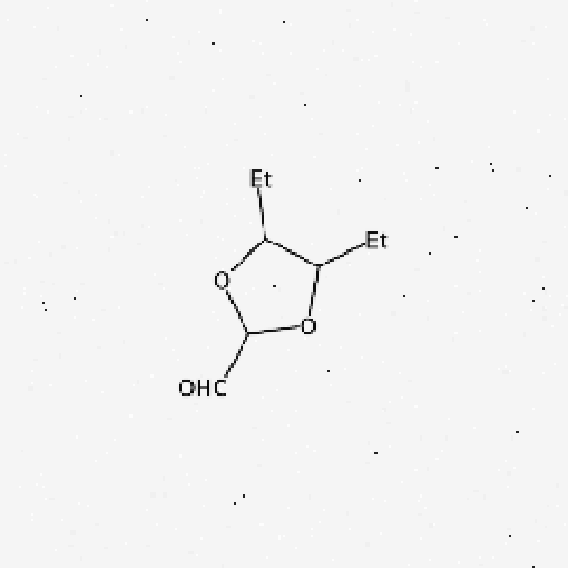 CCC1OC(C=O)OC1CC